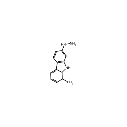 CC1C=CC=C2c3ccc(NN)nc3NC21